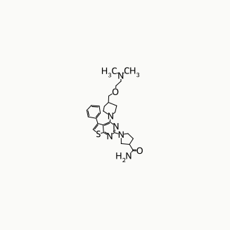 CN(C)CCOCC1CCN(c2nc(N3CCC(C(N)=O)C3)nc3scc(-c4ccccc4)c23)CC1